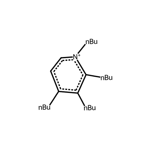 CCCCc1cc[n+](CCCC)c(CCCC)c1CCCC